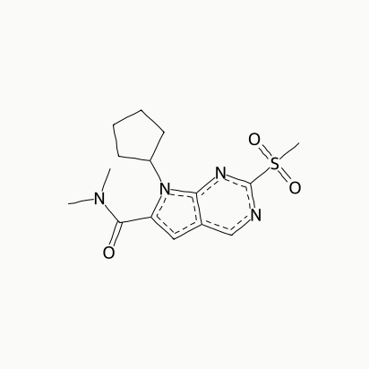 CN(C)C(=O)c1cc2cnc(S(C)(=O)=O)nc2n1C1CCCC1